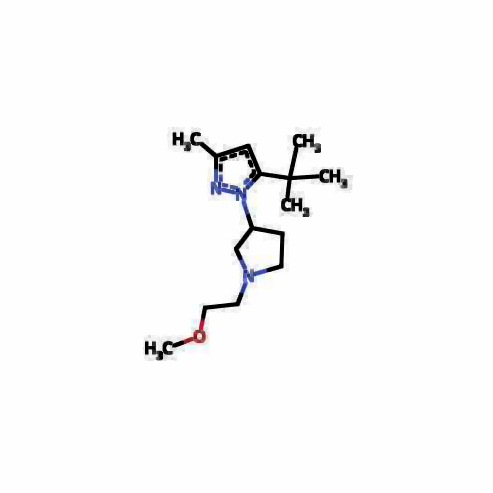 COCCN1CCC(n2nc(C)cc2C(C)(C)C)C1